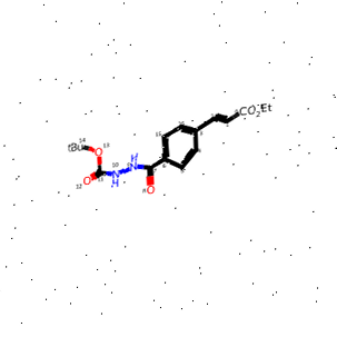 CCOC(=O)C=Cc1ccc(C(=O)NNC(=O)OC(C)(C)C)cc1